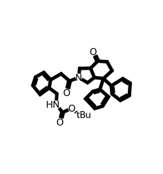 CC(C)(C)OC(=O)NCc1ccccc1CC(=O)N1CC2C(=O)CCC(c3ccccc3)(c3ccccc3)C2C1